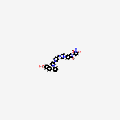 O=C1CC[C@H](N2Cc3cc(N4CCN(CC5CCN(c6ccc([C@H]7c8ccc(O)cc8CC[C@H]7C7CCCCC7)nc6)CC5)CC4)ccc3C2=O)C(=O)N1